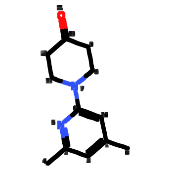 Cc1cc(C)nc(N2CCC(=O)CC2)c1